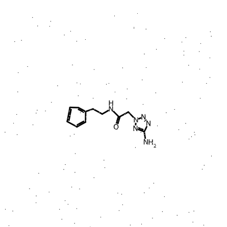 Nc1nnn(CC(=O)NCCc2ccccc2)n1